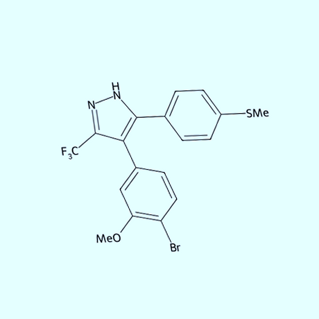 COc1cc(-c2c(C(F)(F)F)n[nH]c2-c2ccc(SC)cc2)ccc1Br